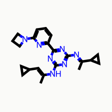 CC(=CC1CC1)Nc1nc(/N=C(\C)C2CC2)nc(-c2cccc(N3CCC3)n2)n1